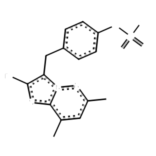 CCc1nc2c(C)cc(C)nn2c1Cc1ccc(OS(=O)(=O)C(F)(F)F)cc1